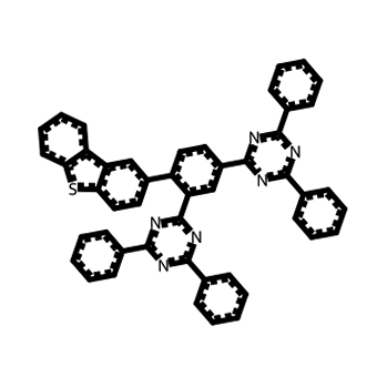 c1ccc(-c2nc(-c3ccccc3)nc(-c3ccc(-c4ccc5sc6ccccc6c5c4)c(-c4nc(-c5ccccc5)nc(-c5ccccc5)n4)c3)n2)cc1